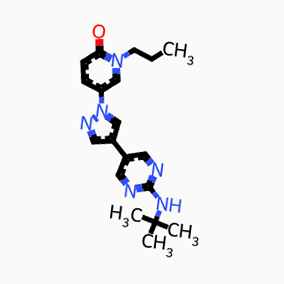 CCCn1cc(-n2cc(-c3cnc(NC(C)(C)C)nc3)cn2)ccc1=O